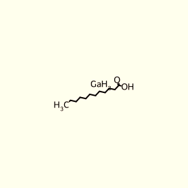 CCCCCCCCCCCC(=O)O.[GaH3]